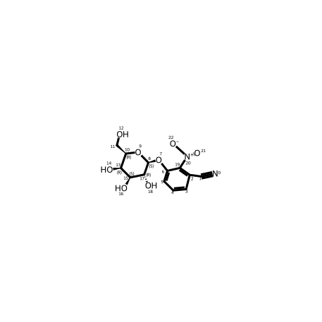 N#Cc1cccc(O[C@@H]2O[C@H](CO)[C@H](O)[C@H](O)[C@H]2O)c1[N+](=O)[O-]